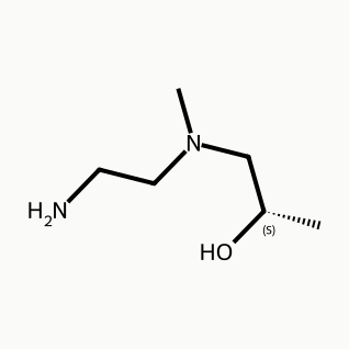 C[C@H](O)CN(C)CCN